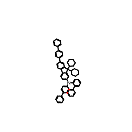 c1ccc(-c2ccc(-c3ccc4c(c3)C(C3CCCCC3)(C3CCCCC3)c3cc(N(c5ccc(-c6ccccc6)cc5)c5ccccc5-c5ccccc5)ccc3-4)cc2)cc1